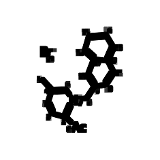 CC(=O)c1ccc(C)c[n+]1Cc1ccc2ccccc2c1.[Br-]